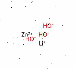 [Li+].[OH-].[OH-].[OH-].[Zn+2]